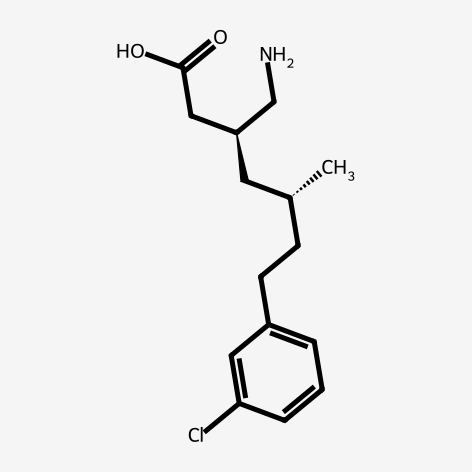 C[C@H](CCc1cccc(Cl)c1)C[C@H](CN)CC(=O)O